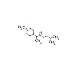 C=C(NCCC(C)C)C1CCN(C)CC1